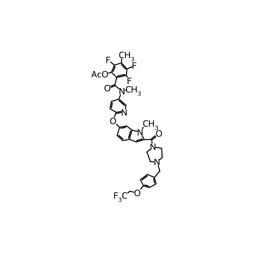 CC(=O)Oc1c(F)c(C)c(F)c(F)c1C(=O)N(C)c1ccc(Oc2ccc3cc(C(=O)N4CCN(Cc5ccc(OCC(F)(F)F)cc5)CC4)n(C)c3c2)nc1